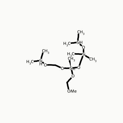 COCO[Si@](C)(OCO[SiH](C)C)O[Si](C)(C)O[SiH](C)C